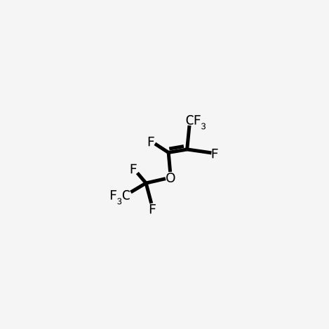 FC(OC(F)(F)C(F)(F)F)=C(F)C(F)(F)F